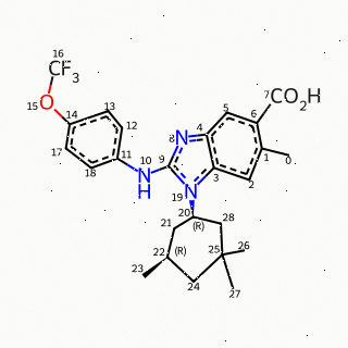 Cc1cc2c(cc1C(=O)O)nc(Nc1ccc(OC(F)(F)F)cc1)n2[C@@H]1C[C@H](C)CC(C)(C)C1